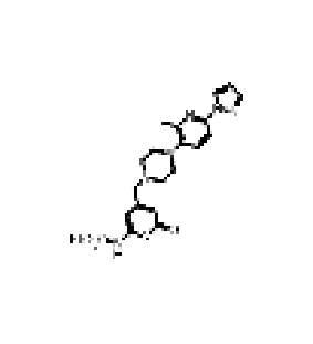 CCOC(=O)Nc1cc(CN2CCN(c3ccc(-n4cccn4)nc3C)CC2)cc(=O)[nH]1